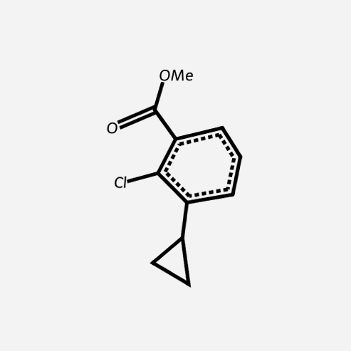 COC(=O)c1cccc(C2CC2)c1Cl